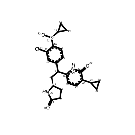 O=C1CC[C@H](CC(c2ccc([S+]([O-])C3CC3)c(Cl)c2)c2ccc(C3CC3)c(=O)[nH]2)N1